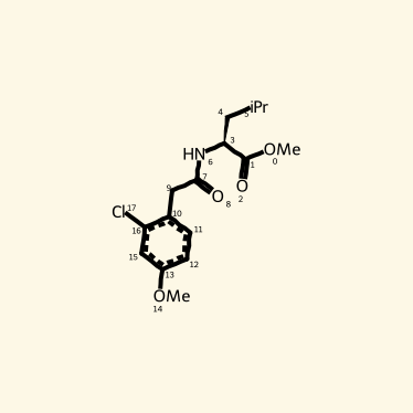 COC(=O)[C@H](CC(C)C)NC(=O)Cc1ccc(OC)cc1Cl